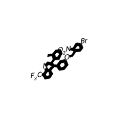 Cc1ccccc1-c1cnc2c(C(F)(F)F)cccc2c1-c1cccc(OCc2ccc(Br)cc2[N+](=O)[O-])c1